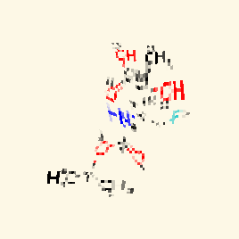 CC(C)OC(=O)N[C@@H](CF)[C@@](C)(O)C(=O)O